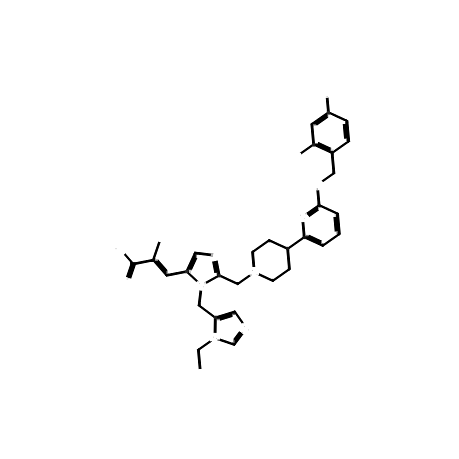 CCn1cncc1Cn1c(/C=C(\C)C(=O)O)cnc1CN1CCC(c2cccc(OCc3ccc(Cl)cc3F)n2)CC1